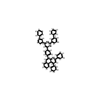 c1ccc(-c2cccc(-c3cc(-c4ccc(-c5cc6ccccc6c6c(-c7ccccc7)cc(-c7ccccc7)nc56)cc4)nc(-c4cccc(-c5ccccc5)c4)n3)c2)cc1